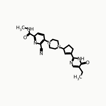 CCc1cnc(C2=CC(N3CCN(c4ccc(C(=O)NC)nc4C#N)CC3)CC2)[nH]c1=O